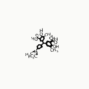 CCN(CC)c1ccc(C(c2cc(C)c(O)c(C(=O)O)c2)c2cc(C)c(O)c(C(=O)O)c2)cc1